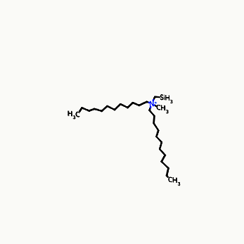 CCCCCCCCCCCC[N+](C)(C[SiH3])CCCCCCCCCCCC